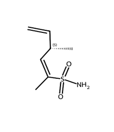 C=C[C@H](C)C=C(C)S(N)(=O)=O